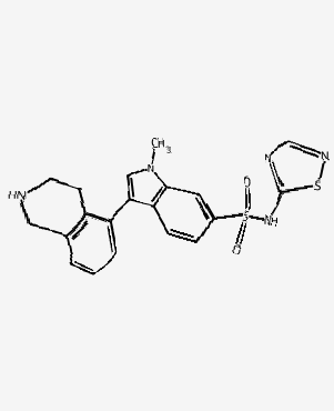 Cn1cc(-c2cccc3c2CCNC3)c2ccc(S(=O)(=O)Nc3ncns3)cc21